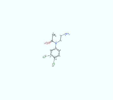 CC(=O)N(CCN)c1ccc(Cl)c(Cl)c1